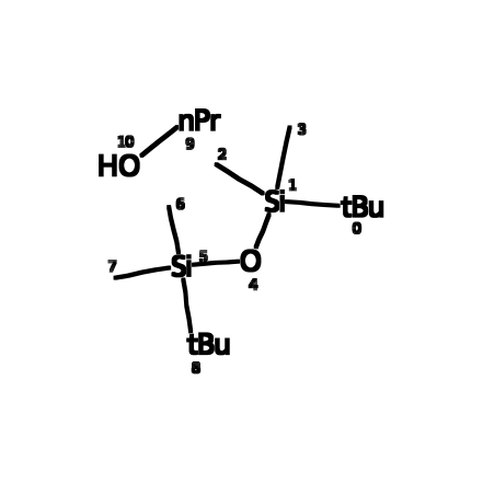 CC(C)(C)[Si](C)(C)O[Si](C)(C)C(C)(C)C.CCCO